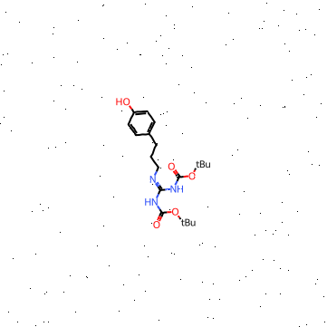 CC(C)(C)OC(=O)NC(=NCCCc1ccc(O)cc1)NC(=O)OC(C)(C)C